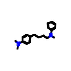 CN(C)c1ccc(CC[CH]CN(C)c2ccccc2)cc1